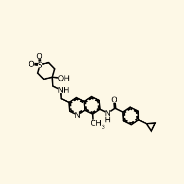 Cc1c(NC(=O)c2ccc(C3CC3)cc2)ccc2cc(CNCC3(O)CCS(=O)(=O)CC3)cnc12